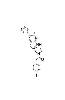 Cc1nc2c(cc1-c1cnn(C)c1)CC[C@]1(CCN(C(=O)Cc3ccc(F)cc3)C1)N2